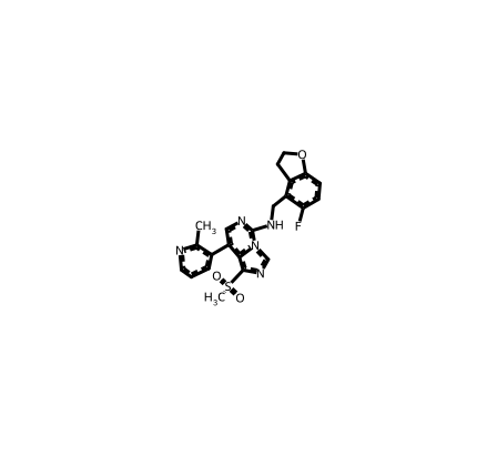 Cc1ncccc1-c1cnc(NCc2c(F)ccc3c2CCO3)n2cnc(S(C)(=O)=O)c12